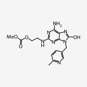 COC(=O)OCCNc1nc(N)c2nc(O)n(Cc3ccc(C)nc3)c2n1